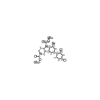 CC(C)(C)OC(=O)N1CCC2C(C1)c1cc(-c3ccc(Cl)cc3Cl)cc(Br)c1N2C(=O)OC(C)(C)C